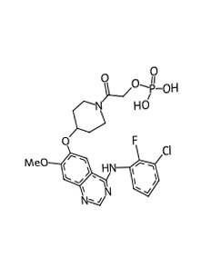 COc1cc2ncnc(Nc3cccc(Cl)c3F)c2cc1OC1CCN(C(=O)COP(=O)(O)O)CC1